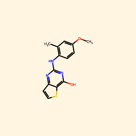 COc1ccc(Nc2nc(O)c3sccc3n2)c(C)c1